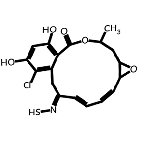 CC1CC2OC2/C=C\C=C\C(=NS)Cc2c(Cl)c(O)cc(O)c2C(=O)O1